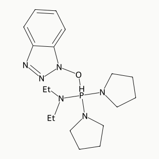 CCN(CC)[PH](On1nnc2ccccc21)(N1CCCC1)N1CCCC1